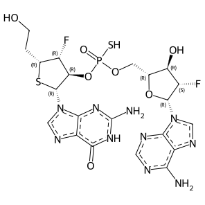 Nc1nc2c(ncn2[C@@H]2S[C@H](CCO)[C@H](F)[C@H]2OP(=O)(S)OC[C@H]2O[C@@H](n3cnc4c(N)ncnc43)[C@@H](F)[C@@H]2O)c(=O)[nH]1